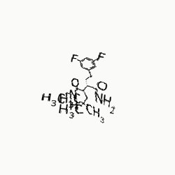 CCNC(=O)[C@H](CC(C)(C)C)[C@H](CCc1cc(F)cc(F)c1)C(N)=O